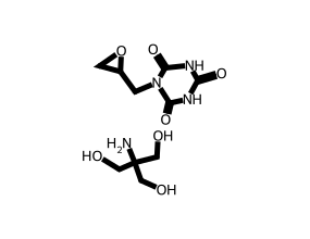 NC(CO)(CO)CO.O=c1[nH]c(=O)n(CC2CO2)c(=O)[nH]1